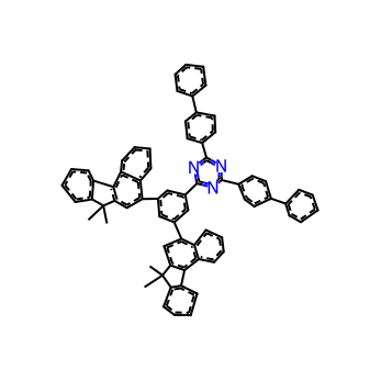 CC1(C)c2ccccc2-c2c1cc(-c1cc(-c3nc(-c4ccc(-c5ccccc5)cc4)nc(-c4ccc(-c5ccccc5)cc4)n3)cc(-c3cc4c(c5ccccc35)-c3ccccc3C4(C)C)c1)c1ccccc21